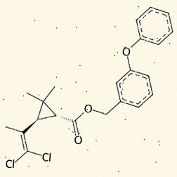 CC(=C(Cl)Cl)[C@@H]1[C@@H](C(=O)OCc2cccc(Oc3ccccc3)c2)C1(C)C